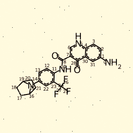 Nc1ccc2[nH]cc(C(=O)Nc3ccc(N4C5CCC4CC5)cc3C(F)(F)F)c(=O)c2c1